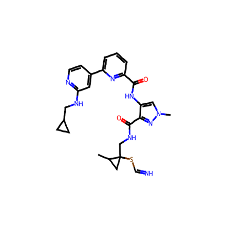 CC1CC1(CNC(=O)c1nn(C)cc1NC(=O)c1cccc(-c2ccnc(NCC3CC3)c2)n1)SC=N